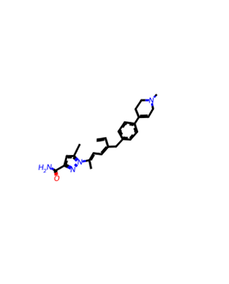 C=C/C(=C\C=C(/C)n1nc(C(N)=O)cc1C)Cc1ccc(C2=CCN(C)CC2)cc1